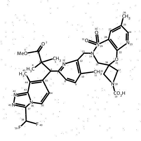 COC(=O)C(C)(C)C(c1ccc(C)c(CN2CC3(CN(C(=O)O)C3)Oc3ncc(C)cc3S2(=O)=O)n1)c1ccn2c(C(F)F)nnc2c1C